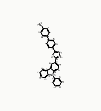 Oc1ccc(-c2ccc(-c3nnc(-c4ccc5c(c4)c4ccccc4n5-c4ccccc4)o3)cc2)cc1